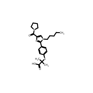 CCCCCn1cc(C(=O)N2CCCC2)nc1-c1ccc(SC(C)(C)C(=O)O)cc1